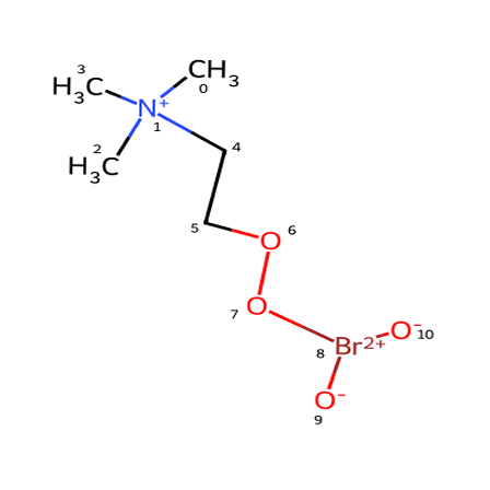 C[N+](C)(C)CCOO[Br+2]([O-])[O-]